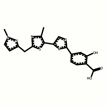 Cc1nc(Cc2ccn(C)n2)sc1-c1csc(-c2ccc(C(=O)O)c(O)c2)n1